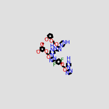 COc1cc(OC)cc(OCCOc2nccnc2N2CCNCC2)c1.COc1ccccc1OCCOc1nccnc1N1CCNCC1.Fc1ccc(F)c(OCCOc2nccnc2N2CCNCC2)c1